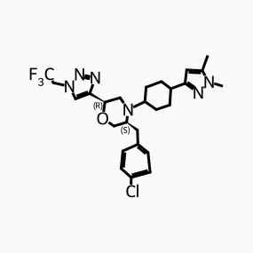 Cc1cc(C2CCC(N3C[C@H](c4cn(CC(F)(F)F)nn4)OC[C@@H]3Cc3ccc(Cl)cc3)CC2)nn1C